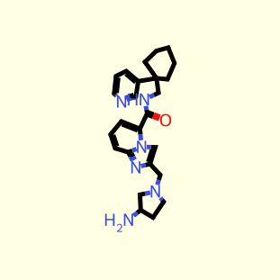 NC1CCN(Cc2cn3c(C(=O)NCC4(c5cccnc5)CCCCC4)cccc3n2)C1